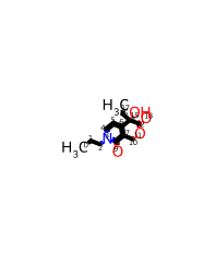 CCCn1ccc2c(c1=O)COC(=O)[C@]2(O)CC